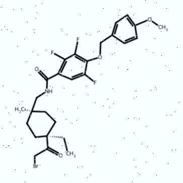 CC[C@]1(C(=O)CBr)CC[C@@](C)(CNC(=O)c2cc(F)c(OCc3ccc(OC)cc3)c(F)c2F)CC1